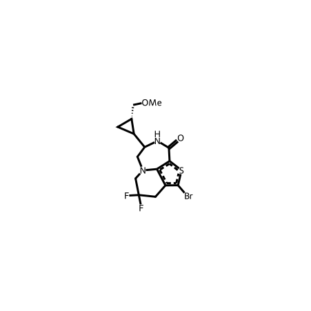 COC[C@H]1CC1C1CN2CC(F)(F)Cc3c(Br)sc(c32)C(=O)N1